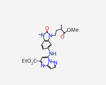 CCOC(=O)c1cc(Nc2ccc3c(c2)n(CCC(C)C(=O)OC)c(=O)n3C)n2nccc2n1